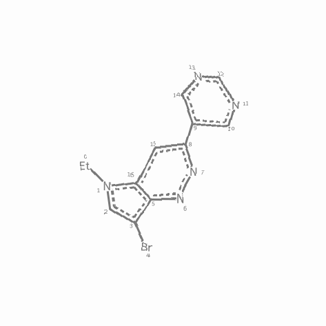 CCn1cc(Br)c2nnc(-c3cncnc3)cc21